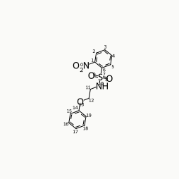 O=[N+]([O-])c1ccccc1S(=O)(=O)NCCOc1ccccc1